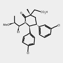 CC[C@@H]([C@H](C)OC)N1C(=O)[C@](C)(CC(=O)O)C[C@H](c2cccc(Cl)c2)[C@H]1c1ccc(Cl)cc1